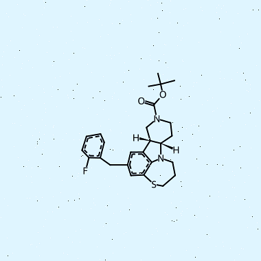 CC(C)(C)OC(=O)N1CC[C@H]2[C@@H](C1)c1cc(Cc3ccccc3F)cc3c1N2CCCS3